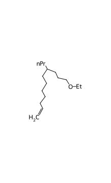 C=CCCCCCC(CCC)CCCOCC